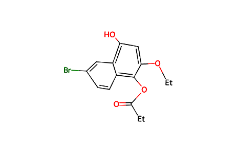 CCOc1cc(O)c2cc(Br)ccc2c1OC(=O)CC